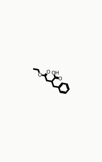 CCOC(=O)CC(Cc1ccccc1)C(=O)O